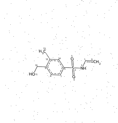 C=CNS(=O)(=O)c1ccc(CO)c(C)c1